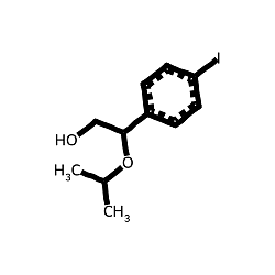 CC(C)OC(CO)c1ccc(I)cc1